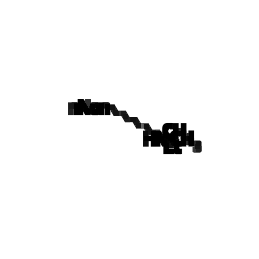 CCCCCCCCCCCCCCCCCCNC(C)(C)CC